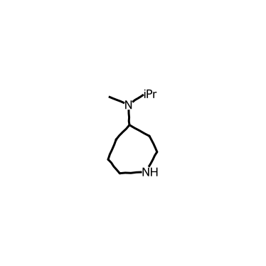 CC(C)N(C)C1CCCNCC1